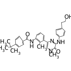 Cc1c(NC(=O)c2ccc(C(C)(C)C)cc2)cccc1-c1cn(C)c(=O)c(Nc2ccc(CCO)cc2)n1